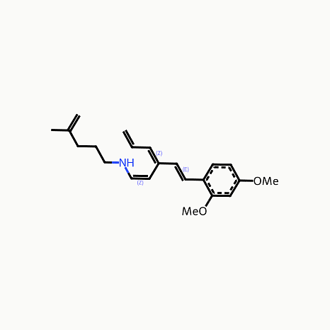 C=C/C=C(\C=C/NCCCC(=C)C)/C=C/c1ccc(OC)cc1OC